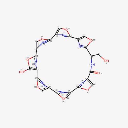 O=C1NC(CO)c2nc(co2)-c2nc(co2)-c2nc(co2)-c2nc(c(O)o2)-c2nc(co2)-c2nc(co2)-c2nc1co2